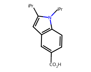 CC(C)c1cc2cc(C(=O)O)ccc2n1C(C)C